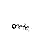 NC(N)C(=O)NCC(=O)O[C@H]1CC=CCC1